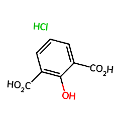 Cl.O=C(O)c1cccc(C(=O)O)c1O